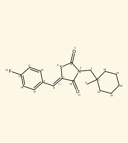 CC1(CN2C(=O)S/C(=C\c3ccc(F)cc3)C2=O)CCCCC1